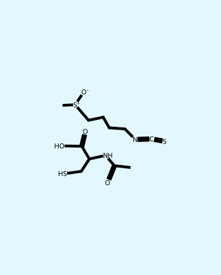 CC(=O)NC(CS)C(=O)O.C[S+]([O-])CCCCN=C=S